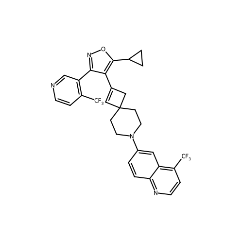 FC(F)(F)c1ccncc1-c1noc(C2CC2)c1C1=CC2(CCN(c3ccc4nccc(C(F)(F)F)c4c3)CC2)C1